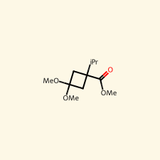 COC(=O)C1(C(C)C)CC(OC)(OC)C1